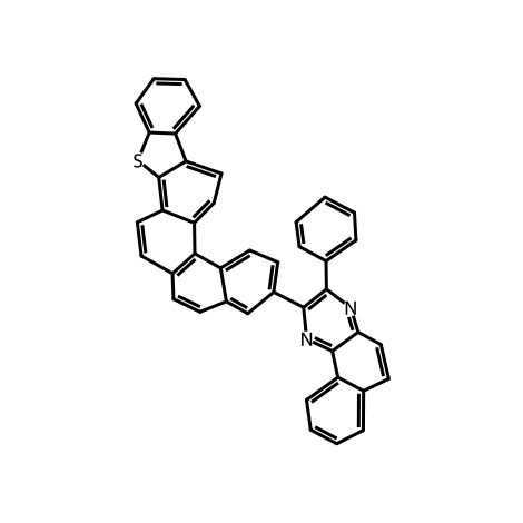 c1ccc(-c2nc3ccc4ccccc4c3nc2-c2ccc3c(ccc4ccc5c(ccc6c7ccccc7sc65)c43)c2)cc1